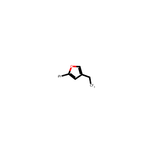 CC(C)c1cc(CC(F)(F)F)co1